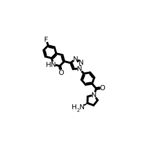 N[C@@H]1CCN(C(=O)c2ccc(-n3cc(-c4cc5cc(F)ccc5[nH]c4=O)nn3)cc2)C1